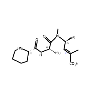 C/C(=C\[C@H](C(C)C)N(C)C(=O)[C@@H](NC(=O)[C@@H]1CCCCN1)C(C)(C)C)C(=O)O